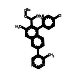 CCCCOC(C(=O)O)c1c(C)cc2cc(-c3cncnc3C)ccc2c1-c1ccc(Cl)cc1